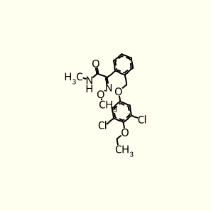 CCOc1c(Cl)cc(OCc2ccccc2C(=NOC)C(=O)NC)cc1Cl